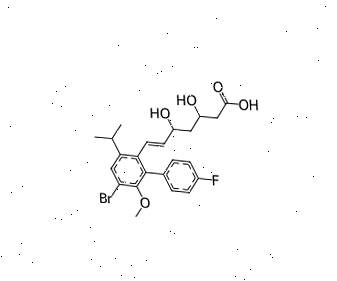 COc1c(Br)cc(C(C)C)c(C=CC(O)CC(O)CC(=O)O)c1-c1ccc(F)cc1